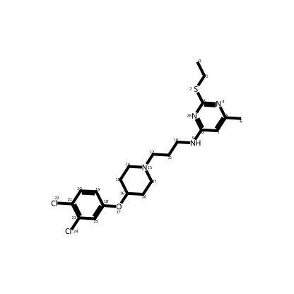 CCSc1nc(C)cc(NCCCN2CCC(Oc3ccc(Cl)c(Cl)c3)CC2)n1